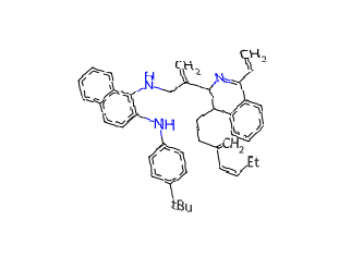 C=CC1=NC(C(=C)CNc2c(Nc3ccc(C(C)(C)C)cc3)ccc3ccccc23)C(CCC(=C)/C=C\CC)c2ccccc21